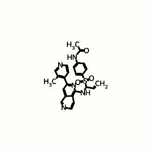 C=CC(Nc1nc(-c2ccncc2C)cc2cnccc12)S(=O)(=O)c1ccc(NC(C)=O)cc1